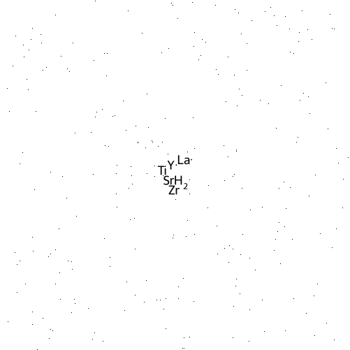 [La].[SrH2].[Ti].[Y].[Zr]